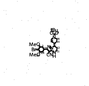 COc1cc(-c2nn3c(c2C#N)NCCC3C2CCN(C(=O)OC(C)(C)C)CC2)cc(OC)c1Br